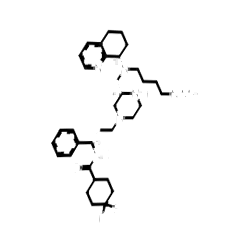 CNCCCCN(C[C@H]1CN(CC[C@H](NC(=O)C2CCC(F)(F)CC2)c2ccccc2)CCN1)[C@H]1CCCc2cccnc21